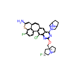 NC1=CC2=C=Cc3cc4c(N5CC6CCC(C5)N6)nc(OC[C@@]56CCCN5C[C@H](F)C6)nc4c(Cl)c3-c3ccc(F)c(c32)S1